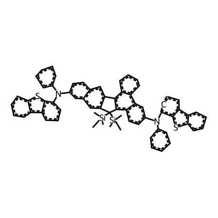 C[Si](C)(C)C1([Si](C)(C)C)c2cc3cc(N(c4ccccc4)c4cccc5c4sc4ccccc45)ccc3cc2-c2c1c1ccc(N(c3ccccc3)c3cccc4c3sc3ccccc34)cc1c1ccccc21